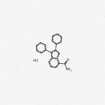 Cl.NC(=O)c1cccc2c(-c3ccccc3)c(-c3ccccc3)cn12